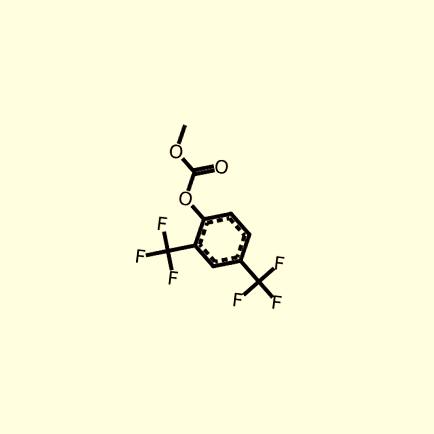 COC(=O)Oc1ccc(C(F)(F)F)cc1C(F)(F)F